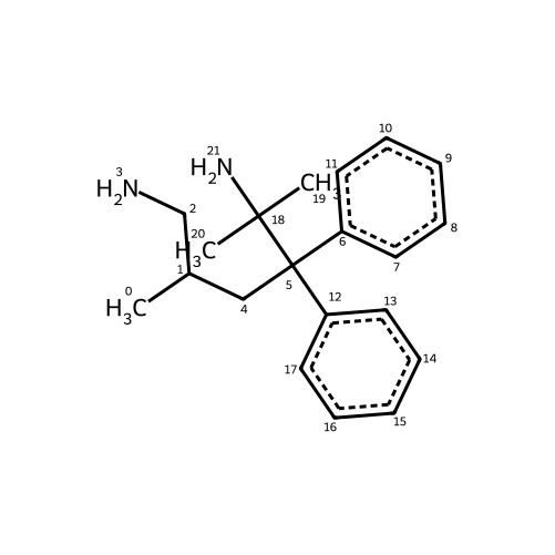 CC(CN)CC(c1ccccc1)(c1ccccc1)C(C)(C)N